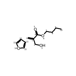 C=C(CO)C(=O)OCCCC.c1ccoc1